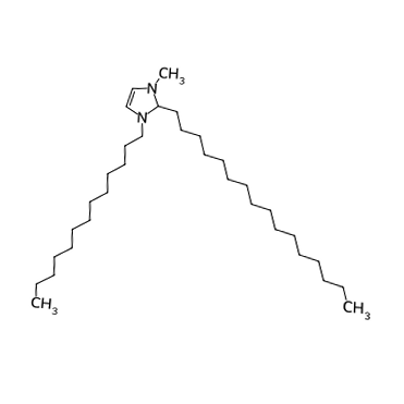 CCCCCCCCCCCCCCCCC1N(C)C=CN1CCCCCCCCCCCCC